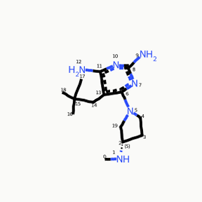 CN[C@H]1CCN(c2nc(N)nc(N)c2CC(C)(C)C)C1